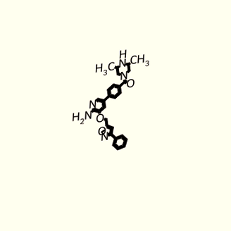 CC1CN(C(=O)c2ccc(-c3cnc(N)c(OCc4cc(-c5ccccc5)no4)c3)cc2)CC(C)N1